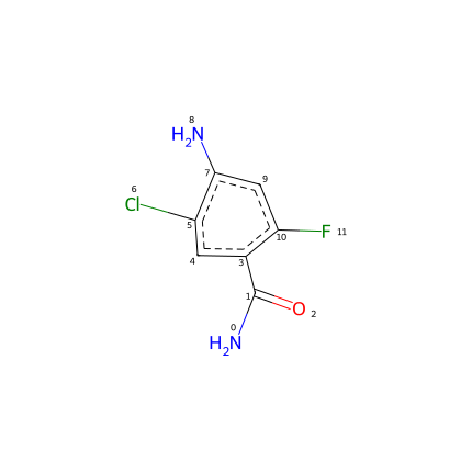 NC(=O)c1cc(Cl)c(N)cc1F